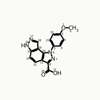 COc1ccc(-n2nc(C(=O)O)c3ccc4[nH]ncc4c32)cc1